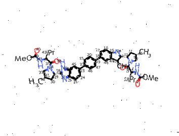 COC(=O)N[C@H](C(=O)N1C[C@@H](C)C[C@H]1C1=Nc2ccc(-c3ccc(-c4ccc5nc([C@@H]6C[C@H](C)CN6C(=O)[C@@H](NC(=O)OC)C(C)C)[nH]c5c4)cc3)cc2C1C)C(C)C